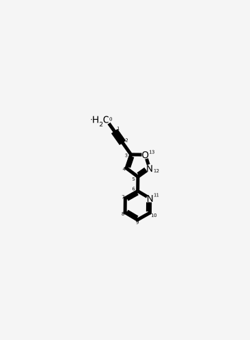 [CH2]C#Cc1cc(-c2ccccn2)no1